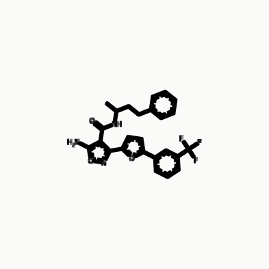 CC(CCc1ccccc1)NC(=O)c1c(-c2ccc(-c3cccc(C(F)(F)F)c3)o2)noc1N